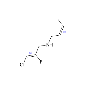 C/C=C\CNC/C(F)=C/Cl